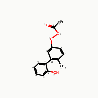 CCCC(=O)OOc1ccc(C)c(-c2ccccc2O)c1